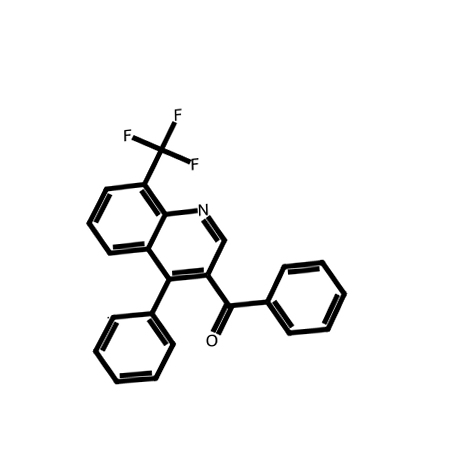 O=C(c1ccccc1)c1cnc2c(C(F)(F)F)cccc2c1-c1[c]cccc1